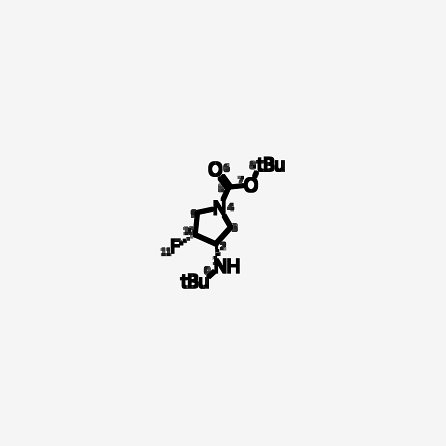 CC(C)(C)N[C@H]1CN(C(=O)OC(C)(C)C)C[C@H]1F